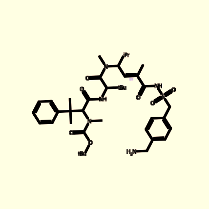 C/C(=C\C(C(C)C)N(C)C(=O)C(NC(=O)C(N(C)C(=O)OC(C)(C)C)C(C)(C)c1ccccc1)C(C)(C)C)C(=O)NS(=O)(=O)Cc1ccc(CN)cc1